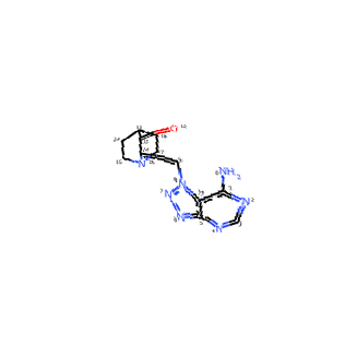 Nc1ncnc2nnn(C=C3C(=O)C4CCN3CC4)c12